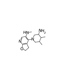 CNc1cnc2c(c1N1CC(C)C(C)C(N)C1)CCO2